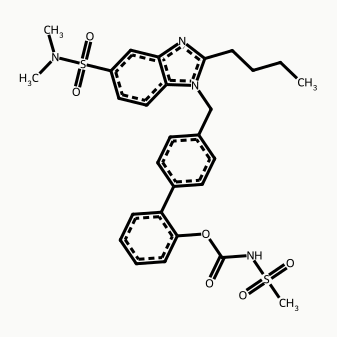 CCCCc1nc2cc(S(=O)(=O)N(C)C)ccc2n1Cc1ccc(-c2ccccc2OC(=O)NS(C)(=O)=O)cc1